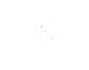 B[C@@H]1O[C@](C=C)(CO)[C@@H](O)[C@H]1O